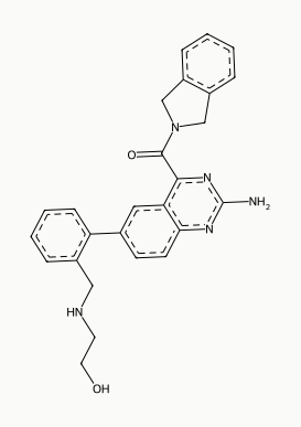 Nc1nc(C(=O)N2Cc3ccccc3C2)c2cc(-c3ccccc3CNCCO)ccc2n1